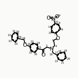 O=C(CN(CCOc1ccc([N+](=O)[O-])cc1)Cc1ccccc1)c1ccc(OCc2ccccc2)cc1